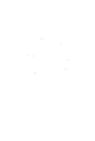 C/C=C\c1cc(-c2nn(C)c3ncnc(N)c23)[nH]c1/C=C\C